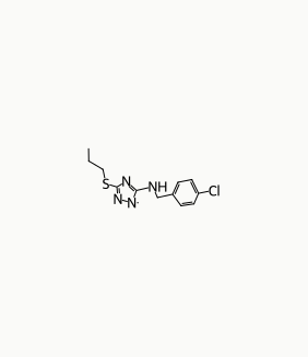 CCCSC1=N[N]C(NCc2ccc(Cl)cc2)=N1